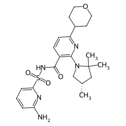 C[C@@H]1CN(c2nc(C3CCOCC3)ccc2C(=O)NS(=O)(=O)c2cccc(N)n2)C(C)(C)C1